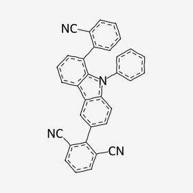 N#Cc1ccccc1-c1cccc2c3cc(-c4c(C#N)cccc4C#N)ccc3n(-c3ccccc3)c12